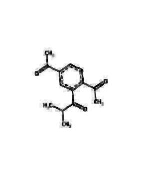 CC(=O)c1ccc(C(C)=O)c(C(=O)C(C)C)c1